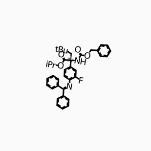 CC(C)OC(=O)[C@](CC(C)(C)C)(NC(=O)OCc1ccccc1)c1ccc(N=C(c2ccccc2)c2ccccc2)c(F)c1